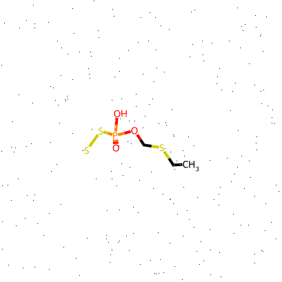 CCSCOP(=O)(O)S[S]